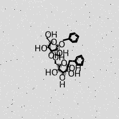 OC[C@H]1O[C@@H](OCc2ccccc2)[C@H](O)[C@@H](O)[C@@H]1O.OC[C@H]1O[C@](O)(Cc2ccccc2)[C@H](O)[C@@H](O)[C@@H]1O